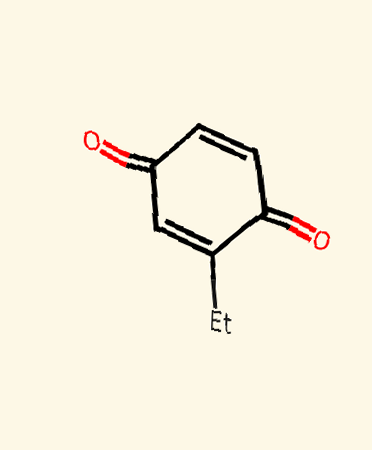 CCC1=CC(=O)C=CC1=O